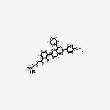 Nc1ccc(-c2nc(N3CCOCC3)c3cc(-c4cccc(C(F)CCN[SH](=O)=O)c4F)ccc3n2)cn1